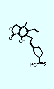 C=Cc1c(C)c2c(c(O)c1CC=C1CCC(C(O)=S)C1)C(=O)OC2